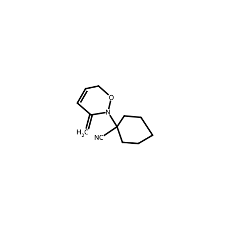 C=C1C=CCON1C1(C#N)CCCCC1